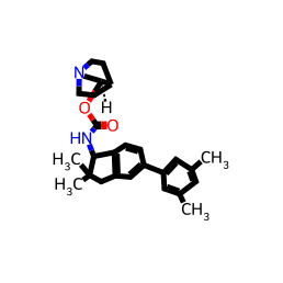 Cc1cc(C)cc(-c2ccc3c(c2)CC(C)(C)C3NC(=O)O[C@H]2CN3CCC2CC3)c1